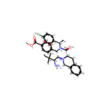 COC(=O)c1ccc(CN(C(=O)[C@@H]2Cc3ccccc3CN2C[C@@H](N)C(C)(C)C)[C@H](C)c2ccc(F)cc2)cc1